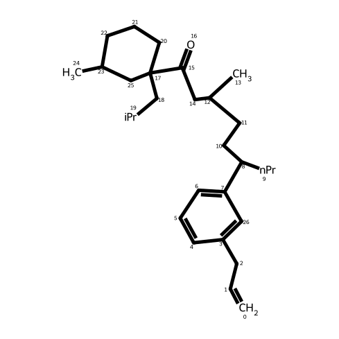 C=CCc1cccc(C(CCC)CCC(C)CC(=O)C2(CC(C)C)CCCC(C)C2)c1